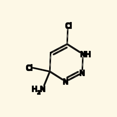 NC1(Cl)C=C(Cl)NN=N1